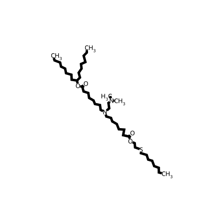 CCCCCCCCSCCOC(=O)CCCCCCCN(CCCCCCCC(=O)OC(CCCCCCCC)CCCCCCCC)CCN(C)C